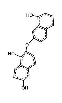 Oc1ccc2c(O)c(Oc3ccc4cccc(O)c4c3)ccc2c1